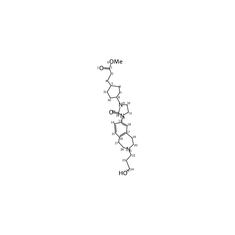 COC(=O)CCC1CCC(N2CCN(c3ccc4c(c3)CCN(CCCO)CC4)C2=O)CC1